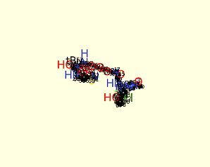 C=CC(=O)N1CCN(c2nc(NCCC(=O)N(C)CCOCCOCCOCC(=O)N[C@H](C(=O)N3C[C@H](O)C[C@H]3C(O)N[C@@H](C)c3ccc(-c4scnc4C)cc3)C(C)(C)C)nc3c(F)c(-c4c(O)cccc4F)c(Cl)cc23)CC1